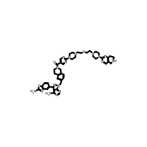 Nc1nc2cc(-c3nn(Cc4ccc5c(c4)CCN(C(=O)c4cnc(N6CCN(CCOCCN7CCN(c8ncc9c(n8)CCNC9)CC7)CC6)nc4)C5)c4ncnc(N)c34)ccc2o1